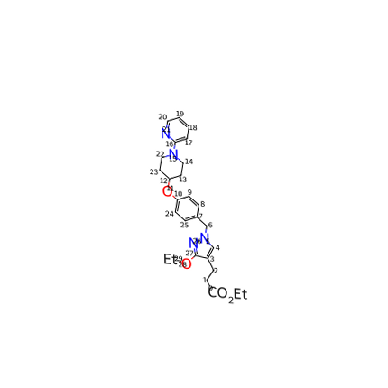 CCOC(=O)CCc1cn(Cc2ccc(OC3CCN(c4ccccn4)CC3)cc2)nc1OCC